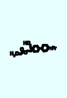 C=CC(=O)OCCC1(CCO)CCC(C2CCC(CCC)CC2)CC1